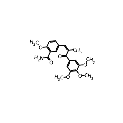 COc1ccc(C=C(C)C(=O)c2cc(OC)c(OC)c(OC)c2)cc1C(N)=O